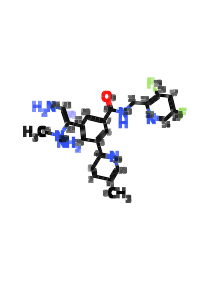 Cc1ccc(-c2cc(C(=O)NCc3ncc(F)cc3F)cc(/C(=C/N)N(C)N)c2)nc1